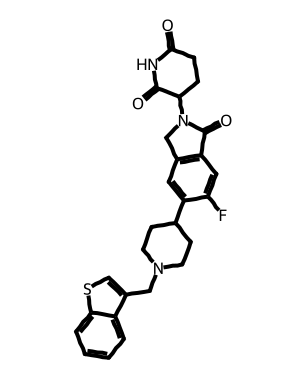 O=C1CCC(N2Cc3cc(C4CCN(Cc5csc6ccccc56)CC4)c(F)cc3C2=O)C(=O)N1